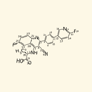 C[C@@H](Nc1c(C#N)c(-c2ccc(-c3ccc(F)nc3)cc2)nc2ccc(F)cc12)C(=O)O